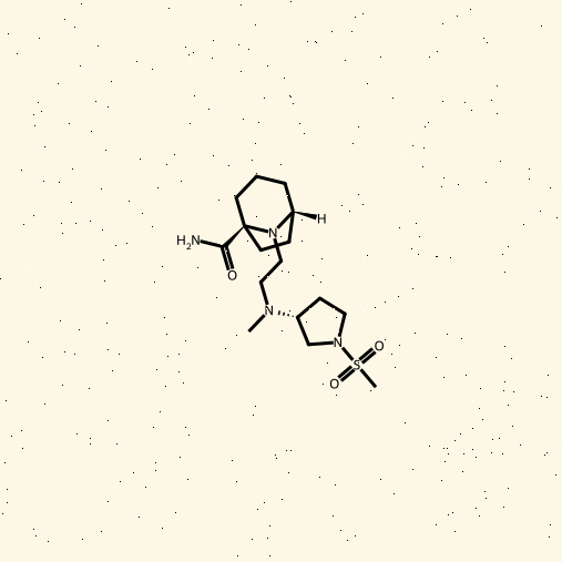 CN(CCN1[C@@H]2C[CH]C[C@@]1(C(N)=O)CC2)[C@@H]1CCN(S(C)(=O)=O)C1